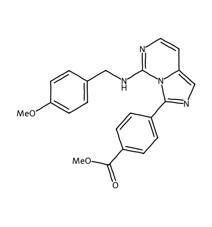 COC(=O)c1ccc(-c2ncc3ccnc(NCc4ccc(OC)cc4)n23)cc1